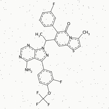 Cc1csc2cc(C(C)n3nc(-c4ccc(OC(F)(F)F)c(F)c4)c4c(N)ncnc43)c(-c3cccc(F)c3)c(=O)n12